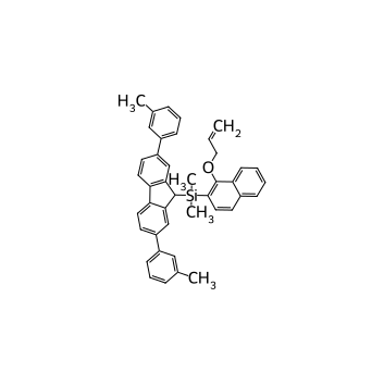 C=CCOc1c([Si](C)(C)C2c3cc(-c4cccc(C)c4)ccc3-c3ccc(-c4cccc(C)c4)cc32)ccc2ccccc12